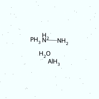 NN.O.P.[AlH3]